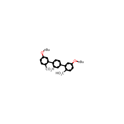 CCCCOc1ccc(C(=O)O)c(-c2ccc(-c3cc(OCCCC)ccc3C(=O)O)cc2)c1